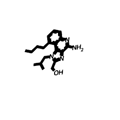 CCCCc1cccc2nc(N)c3nc(CO)n(CC(C)C)c3c12